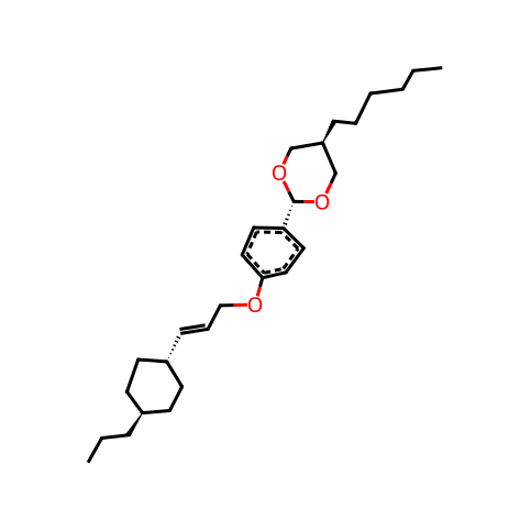 CCCCCC[C@H]1CO[C@H](c2ccc(OCC=C[C@H]3CC[C@H](CCC)CC3)cc2)OC1